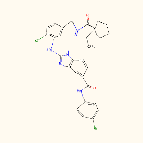 CCC1(C(=O)NCc2ccc(Cl)c(Nc3nc4cc(C(=O)Nc5ccc(Br)cc5)ccc4[nH]3)c2)CCCC1